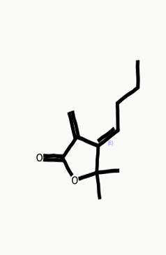 C=C1C(=O)OC(C)(C)/C1=C/CCC